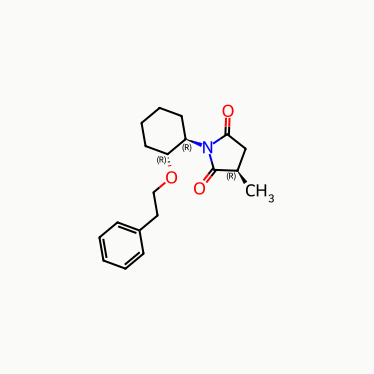 C[C@@H]1CC(=O)N([C@@H]2CCCC[C@H]2OCCc2ccccc2)C1=O